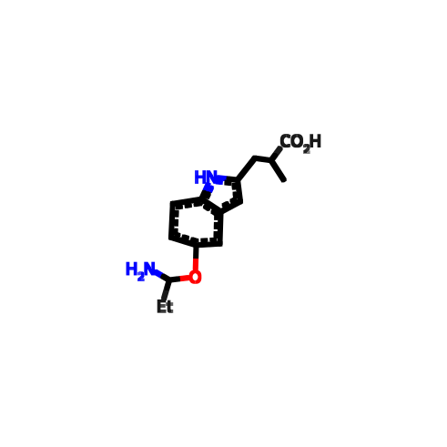 CCC(N)Oc1ccc2[nH]c(CC(C)C(=O)O)cc2c1